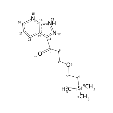 C[Si](C)(C)CCOCCC(=O)c1n[nH]c2ncccc12